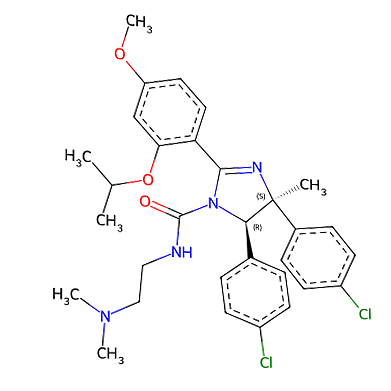 COc1ccc(C2=N[C@@](C)(c3ccc(Cl)cc3)[C@@H](c3ccc(Cl)cc3)N2C(=O)NCCN(C)C)c(OC(C)C)c1